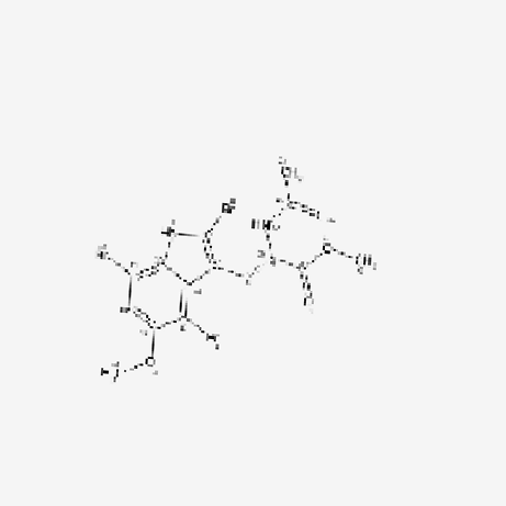 COC(=O)[C@H](Cc1c(Br)[nH]c2c(Br)cc(OC)c(Br)c12)NC(C)=O